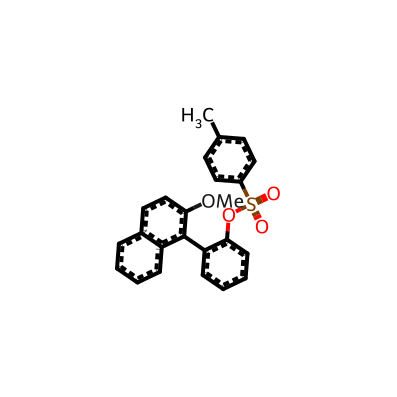 COc1ccc2ccccc2c1-c1ccccc1OS(=O)(=O)c1ccc(C)cc1